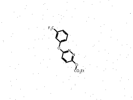 CCOC(=O)Oc1ccc(Oc2cccc(C(F)(F)F)c2)nn1